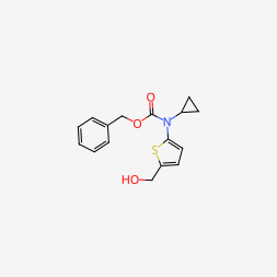 O=C(OCc1ccccc1)N(c1ccc(CO)s1)C1CC1